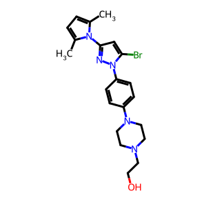 Cc1ccc(C)n1-c1cc(Br)n(-c2ccc(N3CCN(CCO)CC3)cc2)n1